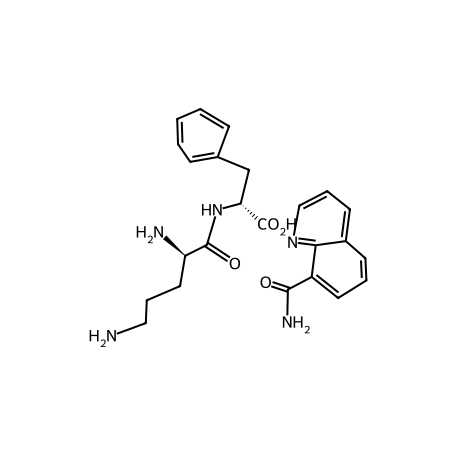 NC(=O)c1cccc2cccnc12.NCCC[C@@H](N)C(=O)N[C@H](Cc1ccccc1)C(=O)O